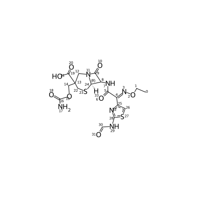 CCON=C(C(=O)NC1C(=O)N2CC(COC(N)=O)(C(=O)O)CS[C@H]12)c1csc(NC=O)n1